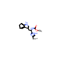 CCCCCc1c[nH]c(C(Cc2c[nH]c3ccccc23)NC(=O)OC(C)(C)C)n1